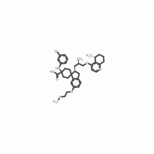 COCCOc1ccc2c(c1)C1(CCC(Nc3cccc(Cl)c3)(C(=O)O)CC1)[C@@H](C[C@@H](C)COc1ccnc3c1[C@H](C)CCC3)C2